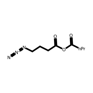 CCCC(=O)OC(=O)CCCN=[N+]=[N-]